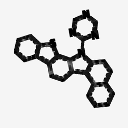 c1ccc2c(c1)ccc1c2c2ccc3c4ccccc4sc3c2n1-c1ncncn1